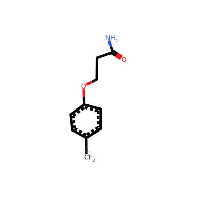 NC(=O)CCOc1ccc(C(F)(F)F)cc1